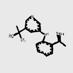 CC(=N)c1ccccc1Nc1cncc(C(C)(O)C(F)(F)F)c1